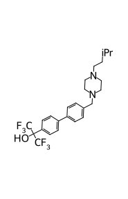 CC(C)CCN1CCN(Cc2ccc(-c3ccc(C(O)(C(F)(F)F)C(F)(F)F)cc3)cc2)CC1